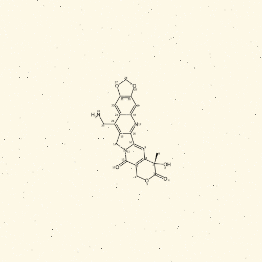 C[C@@]1(O)C(=O)OCc2c1cc1n(c2=O)Cc2c-1nc1cc3c(cc1c2CN)OCO3